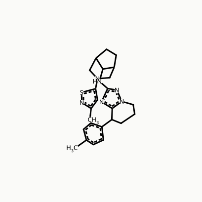 Cc1ccc(C2CCCn3nc(NC4C5CCC4CN(c4cc(C)ns4)C5)nc32)cc1